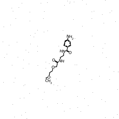 CCOCCOCC(=O)NCCNC(=O)c1ccc(N)cc1